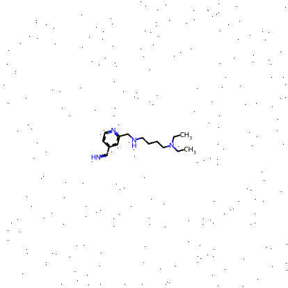 CCN(CC)CCCCNCc1cc(C=N)ccn1